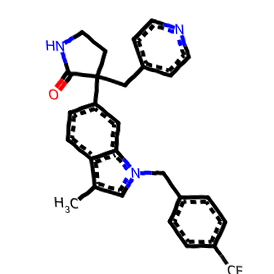 Cc1cn(Cc2ccc(C(F)(F)F)cc2)c2cc(C3(Cc4ccncc4)CCNC3=O)ccc12